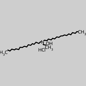 CCCCCCCCCCCCCCCCCCN(CCCCCCCCCCCCCCCCCC)CC(C)O.Cl